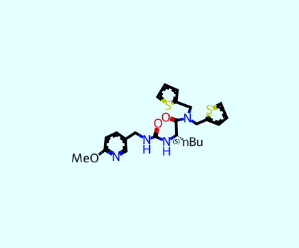 CCCC[C@H](NC(=O)NCc1ccc(OC)nc1)C(=O)N(Cc1cccs1)Cc1cccs1